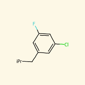 CC(C)Cc1cc(F)cc(Cl)c1